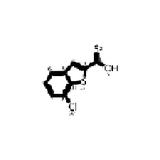 OC(=S)c1cc2cccc(Cl)c2s1